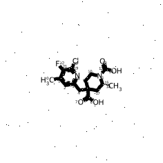 Cc1cc(CC2(C(=O)O)CCN(C(=O)O)[C@H](C)C2)nc(Cl)c1F